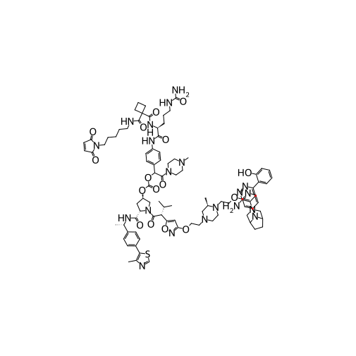 Cc1ncsc1-c1ccc([C@H](C)NC(=O)[C@@H]2C[C@@H](OC(=O)OC(C(=O)N3CCN(C)CC3)c3ccc(NC(=O)[C@H](CCCNC(N)=O)NC(=O)C4(C(=O)NCCCCCN5C(=O)C=CC5=O)CCC4)cc3)CN2C(=O)[C@@H](c2cc(OCCN3CCN(CCOc4cc(N5C6CCC5CN(c5cc(-c7ccccc7O)nnc5N)C6)ccn4)[C@H](C)C3)no2)C(C)C)cc1